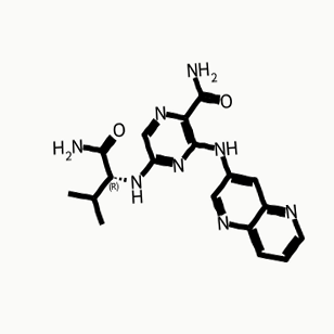 CC(C)[C@@H](Nc1cnc(C(N)=O)c(Nc2cnc3cccnc3c2)n1)C(N)=O